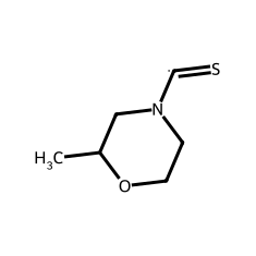 CC1CN([C]=S)CCO1